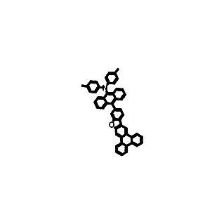 Cc1ccc(N(c2ccc(C)cc2)c2c3ccccc3c(-c3ccc4c(c3)oc3cc5c6ccccc6c6ccccc6c5cc34)c3ccccc23)cc1